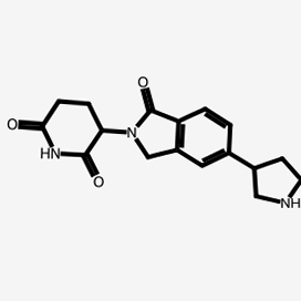 O=C1CCC(N2Cc3cc(C4CCNC4)ccc3C2=O)C(=O)N1